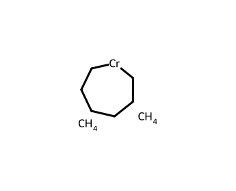 C.C.C1CC[CH2][Cr][CH2]C1